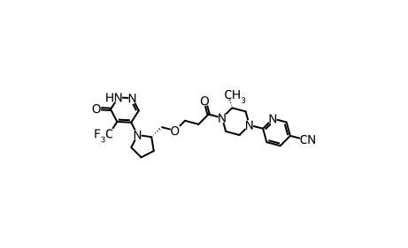 C[C@@H]1CN(c2ccc(C#N)cn2)CCN1C(=O)CCOC[C@@H]1CCCN1c1cn[nH]c(=O)c1C(F)(F)F